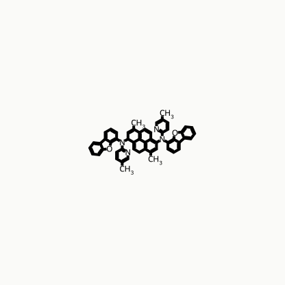 CC1=CC(N(c2ccc(C)cn2)c2cccc3c2oc2ccccc23)C2=CCc3c(C)cc(N(c4ccc(C)cn4)c4cccc5c4oc4ccccc45)c4ccc1c2c34